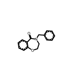 O=C1c2ccccc2OCCN1Cc1ccccc1